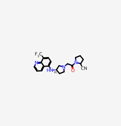 N#CC1CCCN1C(=O)CN1CC[C@@H](Nc2ccc(C(F)(F)F)c3ncccc23)C1